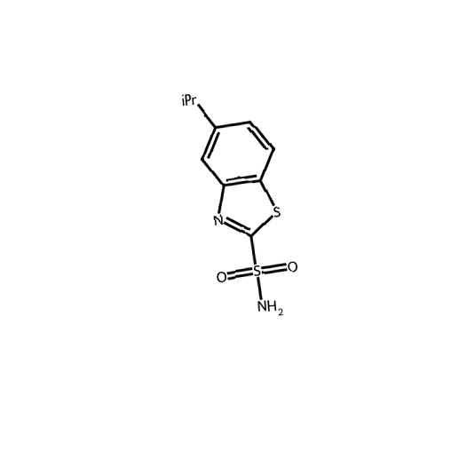 CC(C)c1ccc2sc(S(N)(=O)=O)nc2c1